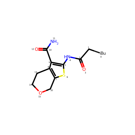 CCC(C)CC(=O)Nc1sc2c(c1C(N)=O)CCOC2